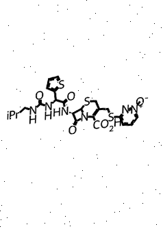 CC(C)CNC(=O)NC(C(=O)N[C@H]1C(=O)N2C(C(=O)O)=C(CSc3ccc[n+]([O-])n3)CSC12)c1cccs1